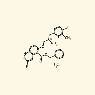 Cc1nc(C[C@@H](N)COc2ccc3ncc(F)cc3c2C(=O)OCc2ccccc2)ccc1F.Cl.Cl